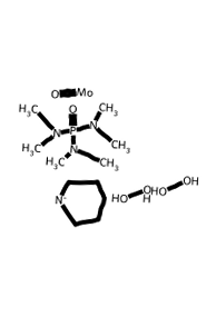 C1CC[N-]CC1.CN(C)P(=O)(N(C)C)N(C)C.OO.OO.[O]=[Mo]